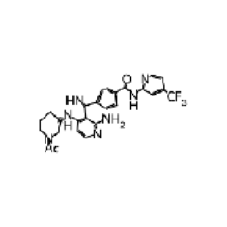 CC(=O)N1CCC[C@@H](Nc2ccnc(N)c2C(=N)c2ccc(C(=O)Nc3cc(C(F)(F)F)ccn3)cc2)C1